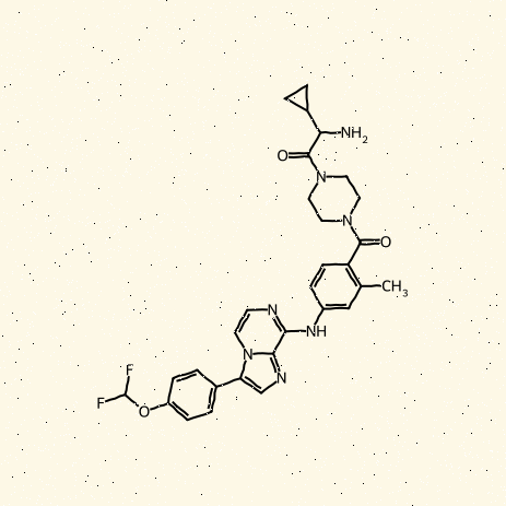 Cc1cc(Nc2nccn3c(-c4ccc(OC(F)F)cc4)cnc23)ccc1C(=O)N1CCN(C(=O)C(N)C2CC2)CC1